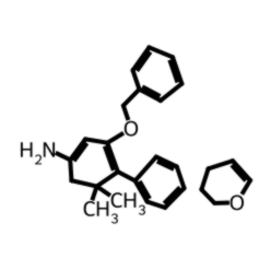 C1=COCCC1.CC1(C)CC(N)=CC(OCc2ccccc2)=C1c1ccccc1